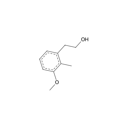 COc1cccc(CCO)c1C